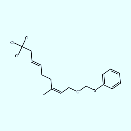 CC(=CCOCSc1ccccc1)CCC=CCC(Cl)(Cl)Cl